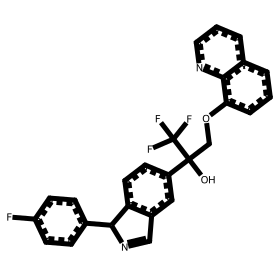 OC(COc1cccc2cccnc12)(c1ccc2c(c1)C=NC2c1ccc(F)cc1)C(F)(F)F